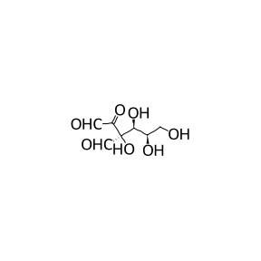 O=CC(=O)[C@@](O)(C=O)[C@@H](O)[C@H](O)CO